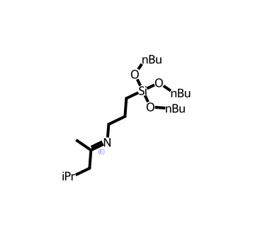 CCCCO[Si](CCC/N=C(\C)CC(C)C)(OCCCC)OCCCC